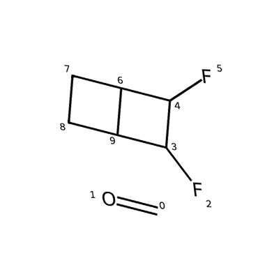 C=O.FC1C(F)C2CCC12